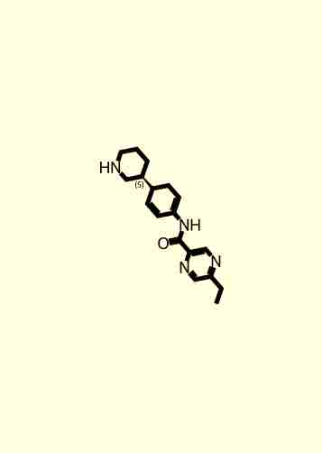 CCc1cnc(C(=O)NC2=CCC([C@@H]3CCCNC3)C=C2)cn1